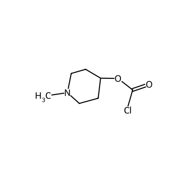 CN1CCC(OC(=O)Cl)CC1